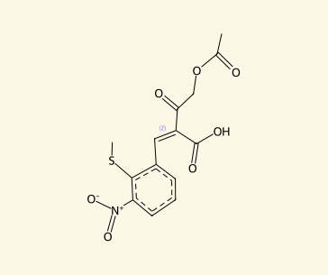 CSc1c(/C=C(\C(=O)O)C(=O)COC(C)=O)cccc1[N+](=O)[O-]